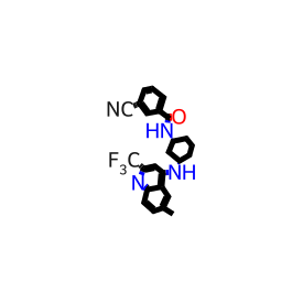 Cc1ccc2nc(C(F)(F)F)cc(N[C@H]3CCC[C@@H](NC(=O)c4cccc(C#N)c4)C3)c2c1